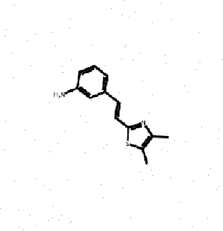 Cc1nc(C=Cc2cccc(N)c2)sc1C